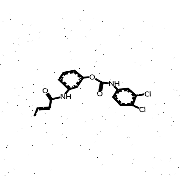 C/C=C/C(=O)Nc1cccc(OC(=O)Nc2ccc(Cl)c(Cl)c2)c1